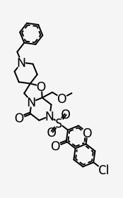 COCC12CN(S(=O)(=O)c3coc4cc(Cl)ccc4c3=O)CC(=O)N1CC1(CCN(Cc3ccccc3)CC1)O2